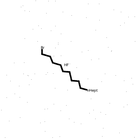 CCCCCCCCCCCCCCCCBr.F